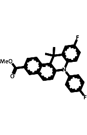 COC(=O)c1ccc2c3c(ccc2c1)N(c1ccc(F)cc1)c1ccc(F)cc1C3(C)C